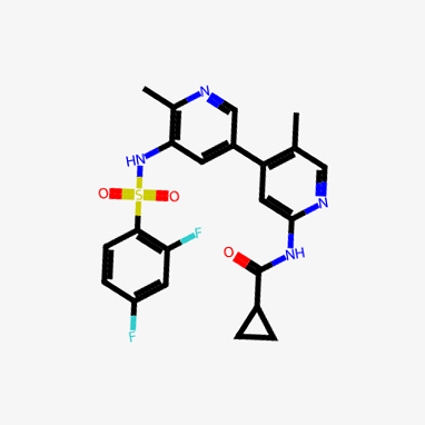 Cc1cnc(NC(=O)C2CC2)cc1-c1cnc(C)c(NS(=O)(=O)c2ccc(F)cc2F)c1